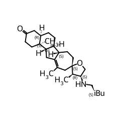 CC[C@H](C)CN[C@@H]1CO[C@]2(CC[C@@H]3C(=C(C)C2)C[C@H]2[C@H]3CC[C@@H]3CC(=O)CC[C@@]32C)[C@@H]1C